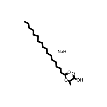 CCCCCCCCCCCCCCCCCC(=O)OC(C)C(=O)O.[NaH]